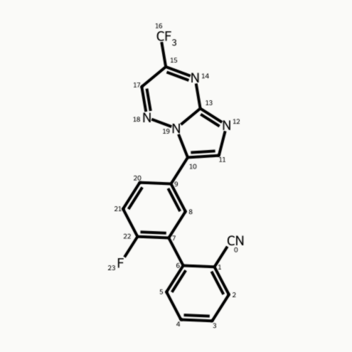 N#Cc1ccccc1-c1cc(-c2cnc3nc(C(F)(F)F)cnn23)ccc1F